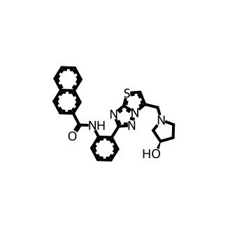 O=C(Nc1ccccc1-c1nc2scc(CN3CC[C@@H](O)C3)n2n1)c1ccc2ccccc2c1